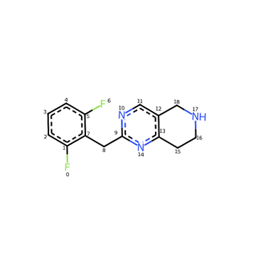 Fc1cccc(F)c1Cc1ncc2c(n1)CCNC2